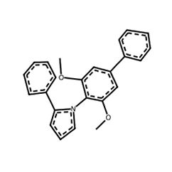 COc1cc(-c2ccccc2)cc(OC)c1-n1cccc1-c1ccccc1